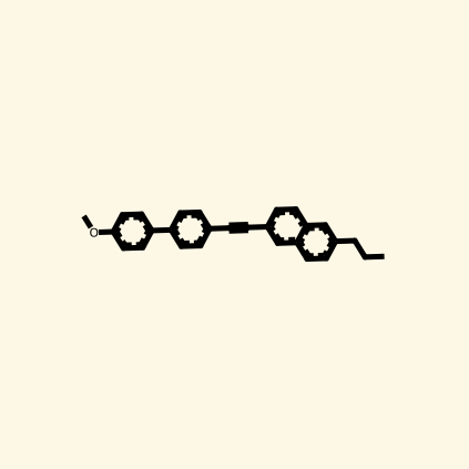 CCCc1ccc2cc(C#Cc3ccc(-c4ccc(OC)cc4)cc3)ccc2c1